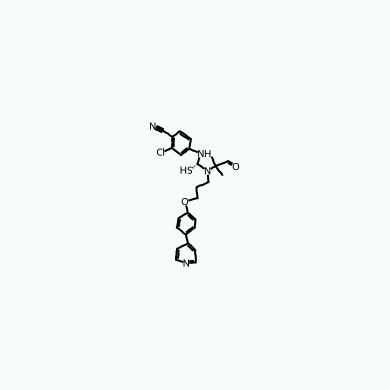 CC(C)(C=O)N(CCCOc1ccc(-c2ccncc2)cc1)[C@H](S)Nc1ccc(C#N)c(Cl)c1